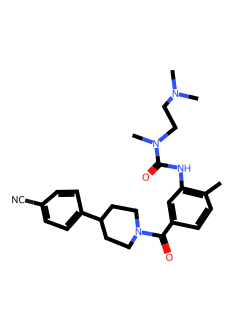 Cc1ccc(C(=O)N2CCC(c3ccc(C#N)cc3)CC2)cc1NC(=O)N(C)CCN(C)C